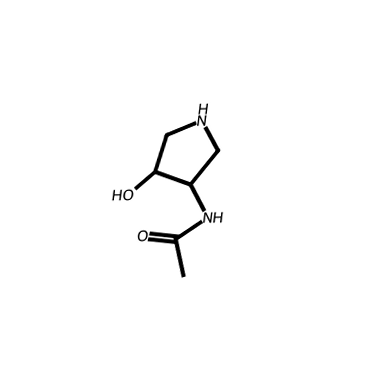 CC(=O)NC1CNCC1O